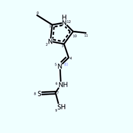 Cc1nc(/C=N/NC(=S)S)c(C)[nH]1